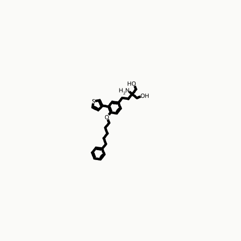 NC(CO)(CO)CCc1ccc(OCCCCCc2ccccc2)c(-c2ccsc2)c1